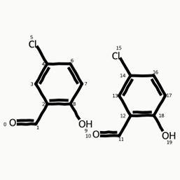 O=Cc1cc(Cl)ccc1O.O=Cc1cc(Cl)ccc1O